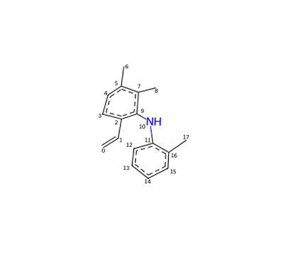 C=Cc1ccc(C)c(C)c1Nc1ccccc1C